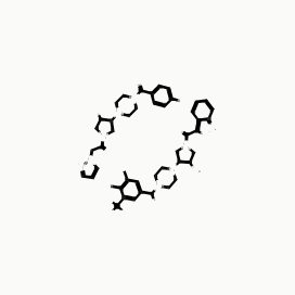 Cc1cc(C(Cl)N2CCN(C3CN(C(=O)c4onc5ccccc45)CC3O)CC2)cc(C(F)(F)F)c1Cl.O=C(Cn1cccn1)N1CC(O)C(N2CCN(C(=O)c3ccc(Cl)cc3)CC2)C1